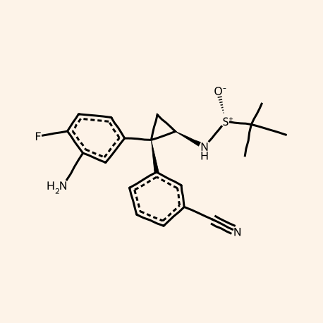 CC(C)(C)[S@@+]([O-])N[C@@H]1C[C@@]1(c1cccc(C#N)c1)c1ccc(F)c(N)c1